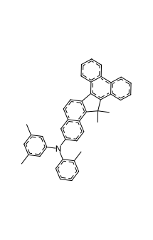 Cc1cc(C)cc(N(c2ccc3c4c(ccc3c2)-c2c(c3ccccc3c3ccccc23)C4(C)C)c2ccccc2C)c1